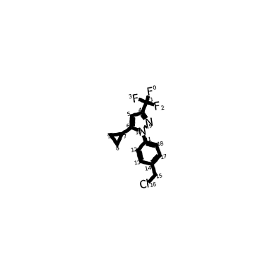 FC(F)(F)c1cc(C2CC2)n(-c2ccc(CCl)cc2)n1